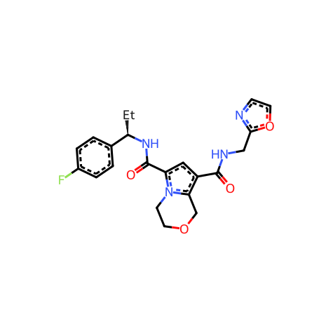 CC[C@@H](NC(=O)c1cc(C(=O)NCc2ncco2)c2n1CCOC2)c1ccc(F)cc1